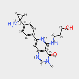 Cn1cnc2cc(-c3ccc(C4(N)CC4)cc3)nc(NCCCO)c2c1=O